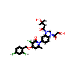 Cc1cc(OCc2ccc(F)cc2F)c(Cl)c(=O)n1-c1ccc2c(c1)N(C(=O)CC(C)(C)O)CN2C(=O)CO